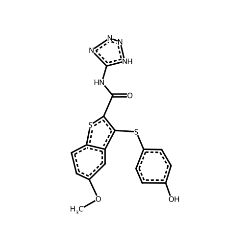 COc1ccc2sc(C(=O)Nc3nnn[nH]3)c(Sc3ccc(O)cc3)c2c1